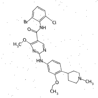 CCOc1cc(Nc2ncc(C(=O)Nc3c(Cl)cccc3Br)c(OC)n2)ccc1C1CCN(C)CC1